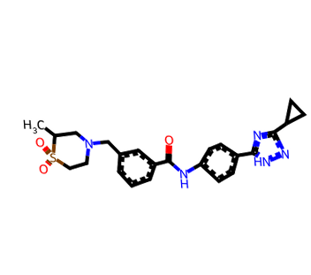 CC1CN(Cc2cccc(C(=O)Nc3ccc(-c4nc(C5CC5)n[nH]4)cc3)c2)CCS1(=O)=O